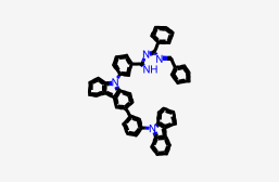 N=C(/N=C(\N=C\c1ccccc1)c1ccccc1)c1cccc(-n2c3ccccc3c3cc(-c4cccc(-n5c6ccccc6c6ccccc65)c4)ccc32)c1